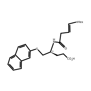 CCCCCCC=CCC(=O)N[C@@H](CCC(=O)O)CSc1ccc2ccccc2c1